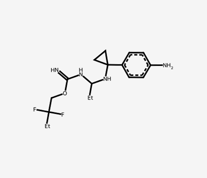 CCC(NC(=N)OCC(F)(F)CC)NC1(c2ccc(N)cc2)CC1